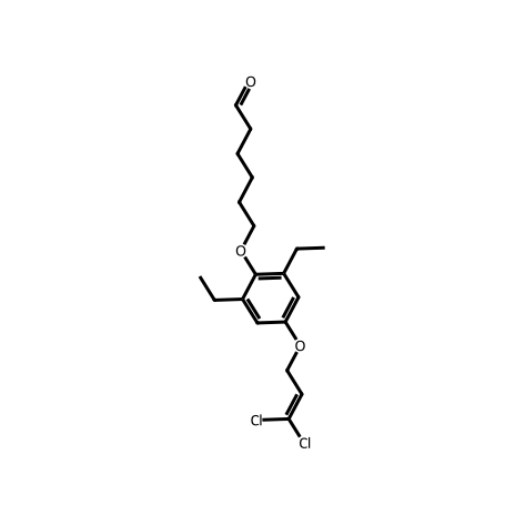 CCc1cc(OCC=C(Cl)Cl)cc(CC)c1OCCCCCC=O